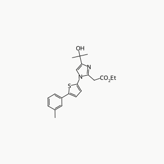 CCOC(=O)Cc1nc(C(C)(C)O)cn1-c1ccc(-c2cccc(C)c2)s1